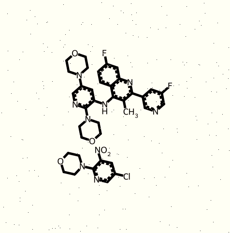 Cc1c(-c2cncc(F)c2)nc2cc(F)ccc2c1Nc1cc(N2CCOCC2)cnc1N1CCOCC1.O=[N+]([O-])c1cc(Cl)cnc1N1CCOCC1